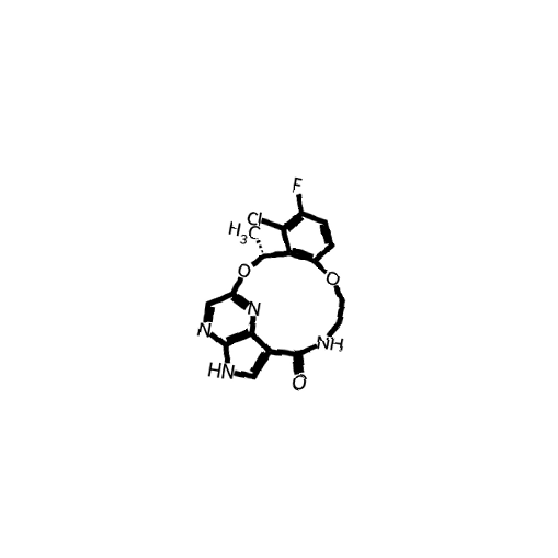 C[C@H]1Oc2cnc3[nH]cc(c3n2)C(=O)NCCOc2ccc(F)c(Cl)c21